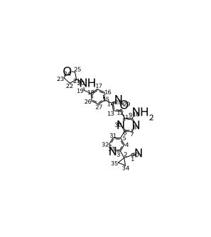 N#CC1(c2cc(-c3cnc(N)c(-c4cc(-c5ccc(CN[C@H]6CCOC6)cc5)no4)n3)ccn2)CC1